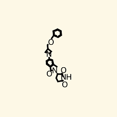 O=C1CCC(N2Cc3cc(N4CC(COCc5ccccc5)C4)ccc3C2=O)C(=O)N1